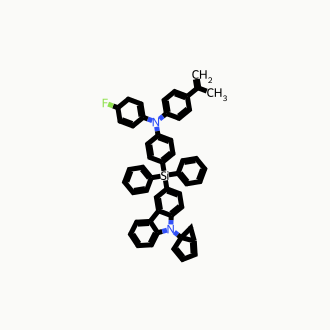 C=C(C)c1ccc(N(C2=CCC(F)C=C2)c2ccc([Si](c3ccccc3)(c3ccccc3)c3ccc4c(c3)c3ccccc3n4C34C=CC=C3C4)cc2)cc1